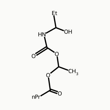 [CH2]CC(O)NC(=O)OC(C)OC(=O)CCC